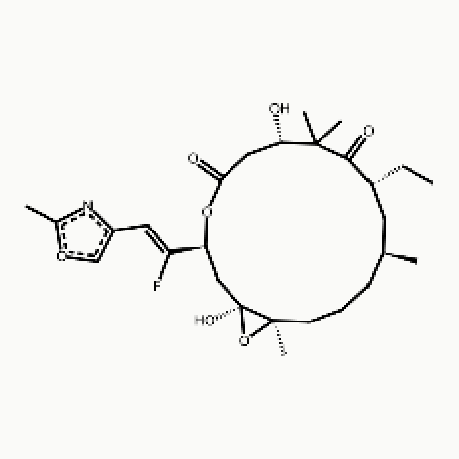 CC[C@@H]1C[C@@H](C)CCC[C@@]2(C)O[C@@]2(O)C[C@@H](C(F)=Cc2coc(C)n2)OC(=O)C[C@H](O)C(C)(C)C1=O